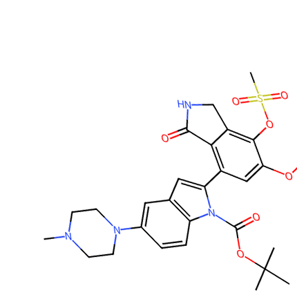 COc1cc(-c2cc3cc(N4CCN(C)CC4)ccc3n2C(=O)OC(C)(C)C)c2c(c1OS(C)(=O)=O)CNC2=O